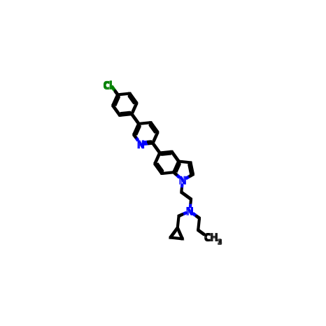 CCCN(CCn1ccc2cc(-c3ccc(-c4ccc(Cl)cc4)cn3)ccc21)CC1CC1